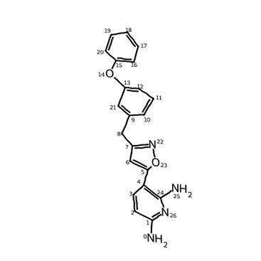 Nc1ccc(-c2cc(Cc3cccc(Oc4ccccc4)c3)no2)c(N)n1